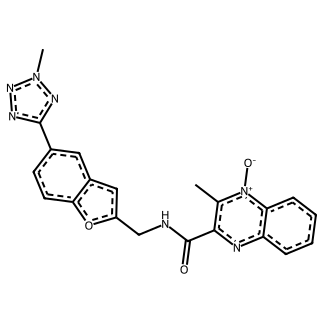 Cc1c(C(=O)NCc2cc3cc(-c4nnn(C)n4)ccc3o2)nc2ccccc2[n+]1[O-]